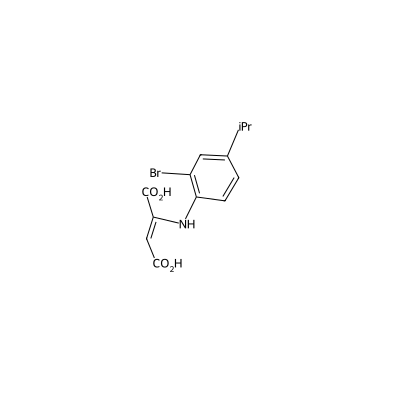 CC(C)c1ccc(N/C(=C\C(=O)O)C(=O)O)c(Br)c1